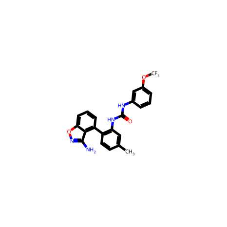 Cc1ccc(-c2cccc3onc(N)c23)c(NC(=O)Nc2cccc(OC(F)(F)F)c2)c1